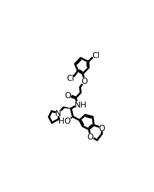 O=C(CCOc1cc(Cl)ccc1Cl)N[C@H](CN1CCCC1)[C@H](O)c1ccc2c(c1)OCCO2